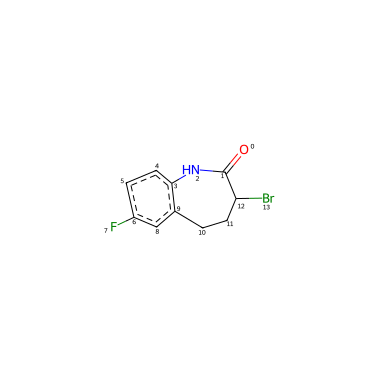 O=C1Nc2ccc(F)cc2CCC1Br